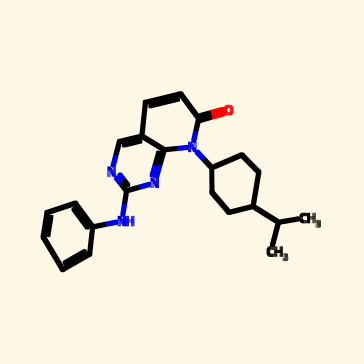 CC(C)C1CCC(n2c(=O)ccc3cnc(Nc4ccccc4)nc32)CC1